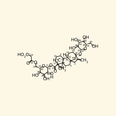 C=C1C[C@@]23CC[C@H]4[C@@](C)(CCC[C@@]4(C)C(=O)O[C@@H]4O[C@H](COC(=O)CC(=O)O)[C@@H](O)[C@H](O)[C@H]4O)[C@@H]2CC[C@]1(O[C@@H]1O[C@H](CO)[C@@H](O)[C@H](O)[C@H]1O)C3